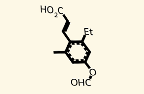 CCc1cc(OC=O)cc(C)c1C=CC(=O)O